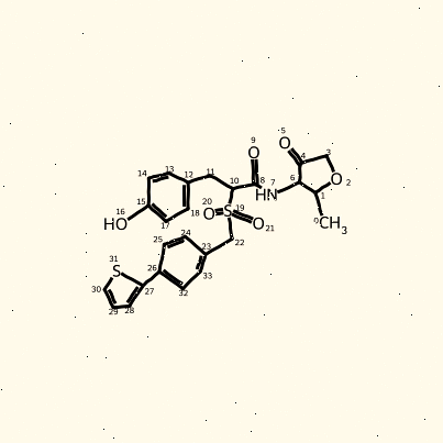 CC1OCC(=O)C1NC(=O)C(Cc1ccc(O)cc1)S(=O)(=O)Cc1ccc(-c2cccs2)cc1